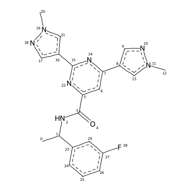 CC(NC(=O)c1cc(-c2cnn(C)c2)nc(-c2cnn(C)c2)n1)c1cccc(F)c1